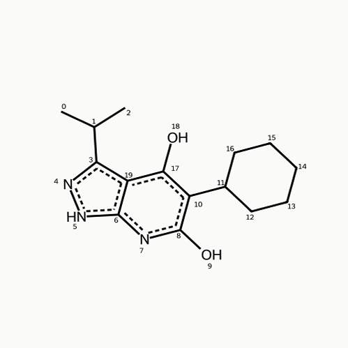 CC(C)c1n[nH]c2nc(O)c(C3CCCCC3)c(O)c12